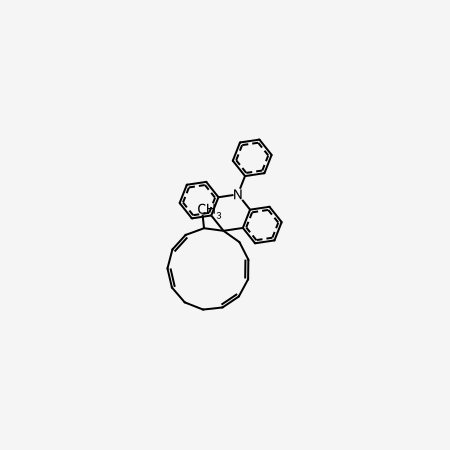 CC1/C=C\C=C/CC/C=C\C=C/CC12c1ccccc1N(c1ccccc1)c1ccccc12